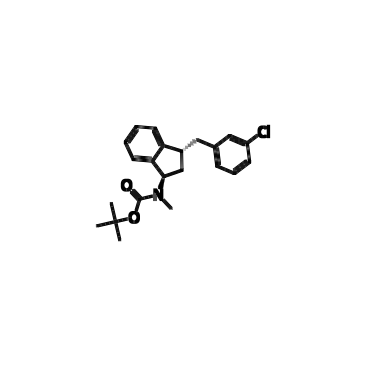 CN(C(=O)OC(C)(C)C)[C@@H]1C[C@@H](Cc2cccc(Cl)c2)c2ccccc21